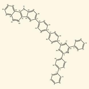 c1ccc(-c2ccc(-c3nc(-c4ccccc4)nc(-c4ccc(-c5ccc(-c6ccc7sc8c9ccccc9nnc8c7c6)cc5)cc4)n3)cc2)cc1